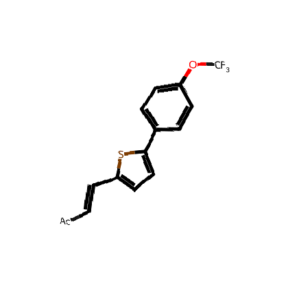 CC(=O)/C=C/c1ccc(-c2ccc(OC(F)(F)F)cc2)s1